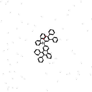 c1ccc(-c2ccc(N(c3ccc4c(c3)c(-c3ccccc3)c(-c3ccccc3)c3ccccc34)c3ccccc3-c3ccccc3)cc2-c2ccccc2)cc1